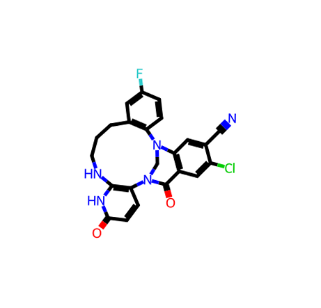 N#Cc1cc2c(cc1Cl)C(=O)N1CN2c2ccc(F)cc2CCCNc2[nH]c(=O)ccc21